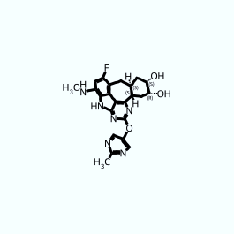 CNc1cc(F)c2c3c1[nH]c1nc(Oc4cnc(C)nc4)nc(c13)[C@H]1C[C@@H](O)[C@@H](O)C[C@@H]1C2